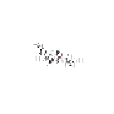 Nc1ncnc2c1ncn2C1OC2COP(=O)(O)O[C@@H]3C(COP(=O)(O)O[C@@H]1[C@@H]2O)OC(n1cnc2c(=O)[nH]cnc21)[C@@H]3O